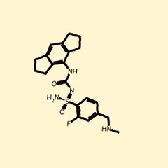 CNCc1ccc([S@](N)(=O)=NC(=O)Nc2c3c(cc4c2CCC4)CCC3)c(F)c1